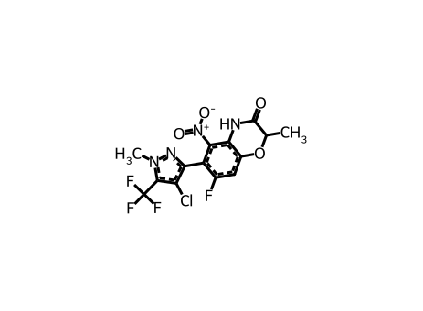 CC1Oc2cc(F)c(-c3nn(C)c(C(F)(F)F)c3Cl)c([N+](=O)[O-])c2NC1=O